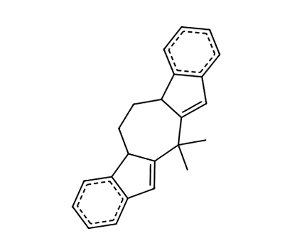 CC1(C)C2=Cc3ccccc3C2CCC2C1=Cc1ccccc12